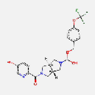 O=C(c1ccc(O)cn1)N1C[C@H]2CN(C(O)OCc3ccc(OC(F)(F)F)cc3)C[C@@H]2C1